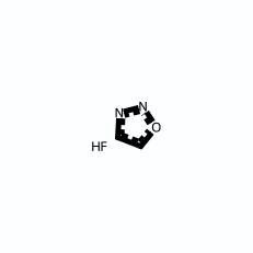 F.c1conn1